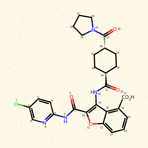 O=C(Nc1ccc(Cl)cn1)c1oc2cccc(C(=O)O)c2c1NC(=O)[C@H]1CC[C@H](C(=O)N2CCCC2)CC1